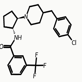 O=C(N[C@@H]1CCC[C@H]1N1CCC(Cc2ccc(Cl)cc2)CC1)c1cccc(C(F)(F)F)c1